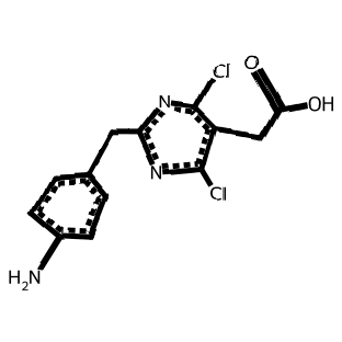 Nc1ccc(Cc2nc(Cl)c(CC(=O)O)c(Cl)n2)cc1